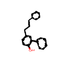 Oc1ccc(CC=Cc2ccccc2)cc1-c1ccccc1